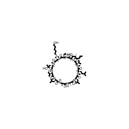 C/C=C/C[C@@H](C)[C@@H](O)[C@H]1C(=O)N[C@H](CC)C(=O)N(C)[C@@H](CSCCCCCO)C(=O)N(C)[C@@H](CC(C)(C)O)C(=O)N[C@H](C(C)C)C(=O)N(C)[C@H](CC(C)C)C(=O)N[C@H](C)C(=O)N[C@@H](C)C(=O)N(C)[C@H](CC(C)C)C(=O)N(C)[C@H](CCC(C)C)C(=O)N(C)[C@H](C(C)C)C(=O)N1C